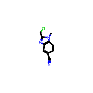 Cn1c(CCl)nc2cc(C#N)ccc21